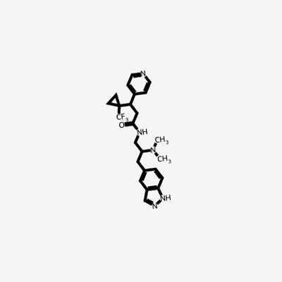 CN(C)C(CNC(=O)CC(c1ccncc1)C1(C(F)(F)F)CC1)Cc1ccc2[nH]ncc2c1